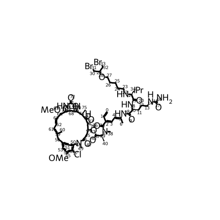 C=C/C(=C\C=C(/C)NC(=O)[C@H](CCCNC(N)=O)NC(=O)[C@@H](NCCCCCOC(CBr)CBr)C(C)C)C(=O)N(C)[C@@H](C)C(=O)O[C@H]1CC(=O)N(C)c2cc(cc(OC)c2Cl)C/C(C)=C/C=C/[C@@H](OC)[C@@]2(O)C[C@H](OC(=O)N2)[C@@H](C)[C@@H]2O[C@@]12C